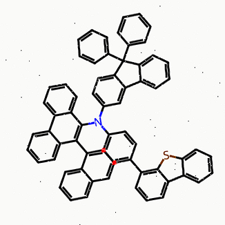 c1ccc(C2(c3ccccc3)c3ccccc3-c3cc(N(c4ccc(-c5cccc6c5sc5ccccc56)cc4)c4c(-c5cccc6ccccc56)c5ccccc5c5ccccc45)ccc32)cc1